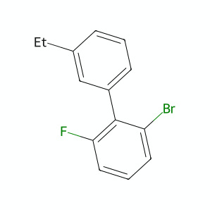 CCc1cccc(-c2c(F)cccc2Br)c1